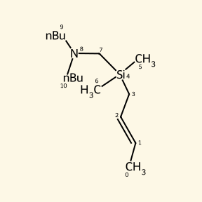 CC=CC[Si](C)(C)CN(CCCC)CCCC